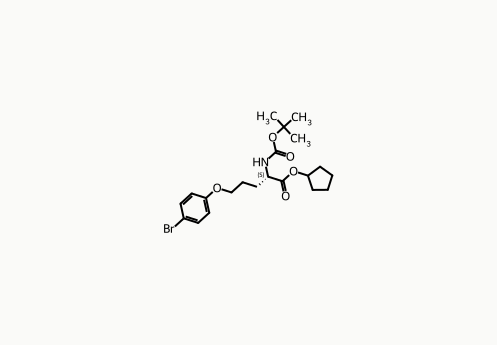 CC(C)(C)OC(=O)N[C@@H](CCCOc1ccc(Br)cc1)C(=O)OC1CCCC1